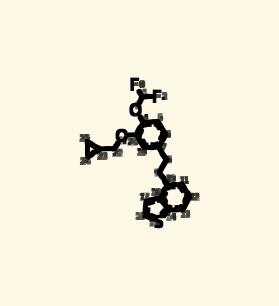 FC(F)Oc1ccc(CCc2cccc3sccc23)cc1OCC1CC1